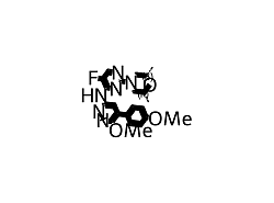 COc1ccc(-c2cc(Nc3nc(N4C[C@@H](C)O[C@@H](C)C4)ncc3F)nnc2OC)cc1